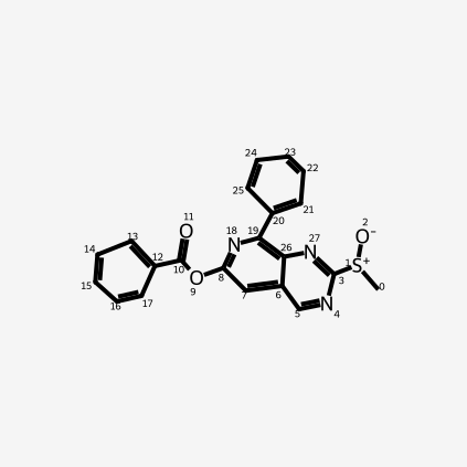 C[S+]([O-])c1ncc2cc(OC(=O)c3ccccc3)nc(-c3ccccc3)c2n1